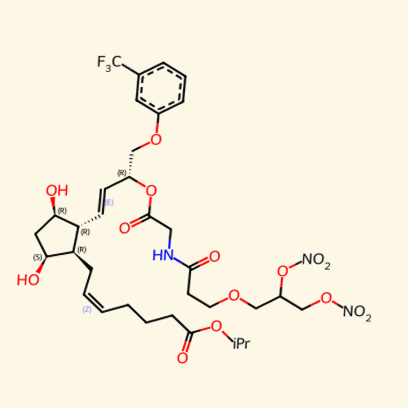 CC(C)OC(=O)CCC/C=C\C[C@@H]1[C@@H](/C=C/[C@H](COc2cccc(C(F)(F)F)c2)OC(=O)CNC(=O)CCOCC(CO[N+](=O)[O-])O[N+](=O)[O-])[C@H](O)C[C@@H]1O